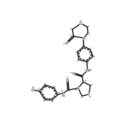 O=C(Nc1ccc(N2CCOCC2=O)cc1)C1CSCN1C(=O)Nc1ccc(Cl)cc1